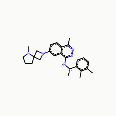 Cc1cccc([C@@H](C)Nc2nnc(C)c3ccc(N4CC5(CCCN5C)C4)cc23)c1C